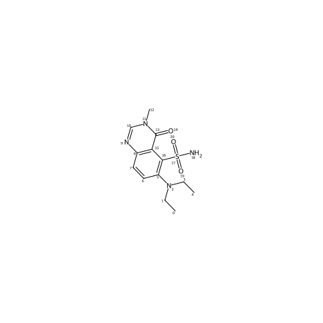 CCN(CC)c1ccc2ncn(C)c(=O)c2c1S(N)(=O)=O